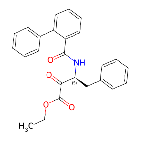 CCOC(=O)C(=O)[C@H](Cc1ccccc1)NC(=O)c1ccccc1-c1ccccc1